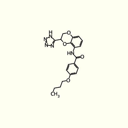 CCCCOc1ccc(C(=O)Nc2cccc3c2OC(c2nnn[nH]2)CO3)cc1